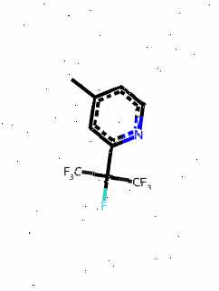 Cc1ccnc(C(F)(C(F)(F)F)C(F)(F)F)c1